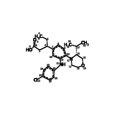 CCC(CC(=O)O)c1ccc(N2CCOC[C@H]2C(C)C)c(Nc2ccc(Cl)cc2)c1